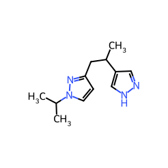 CC(Cc1ccn(C(C)C)n1)c1cn[nH]c1